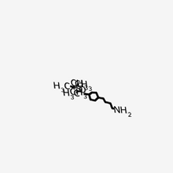 CC(C)(C)[Si](C)(C)OCC1CCC(CCCCN)CC1